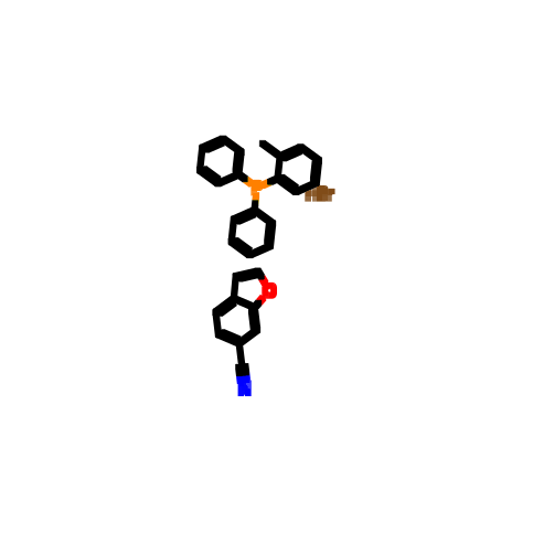 Br.Cc1ccccc1P(c1ccccc1)c1ccccc1.N#Cc1ccc2ccoc2c1